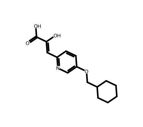 O=C(O)C(O)=Cc1ccc(OCC2CCCCC2)cn1